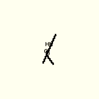 CCCCCCCCNCCCCCC(=O)OCC(CCCCCC)CCCCCCCC